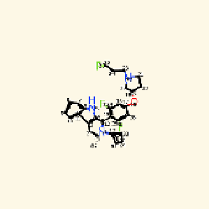 C[C@@H]1Cc2c([nH]c3ccccc23)[C@@H](c2c(F)cc(O[C@H]3CCN(CCCF)C3)cc2F)N1C12CC(C1)C2